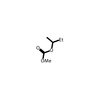 CCC(C)OC(=O)OC